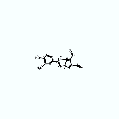 N#Cc1cn2nc(-c3ccc(O)c(N)c3)[nH]c2c1C=O